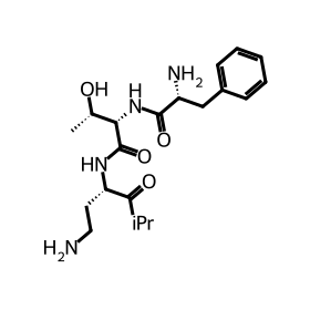 CC(C)C(=O)[C@H](CCN)NC(=O)[C@@H](NC(=O)[C@H](N)Cc1ccccc1)[C@H](C)O